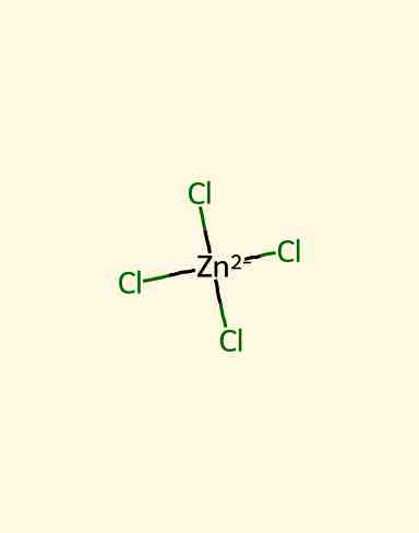 [Cl][Zn-2]([Cl])([Cl])[Cl]